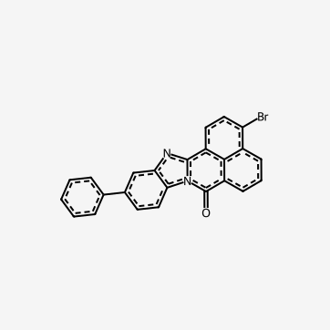 O=c1c2cccc3c(Br)ccc(c32)c2nc3cc(-c4ccccc4)ccc3n12